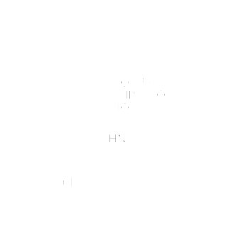 CCOC(CCCNC(C)c1ccc(Cl)cc1)(OCC)[PH](=O)O